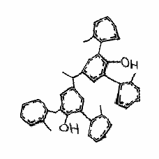 Cc1ccccc1-c1cc(C(C)c2cc(-c3ccccc3C)c(O)c(-c3ccccc3C)c2)cc(-c2ccccc2C)c1O